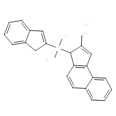 CC1=Cc2c(ccc3ccccc23)C1[Si](C)(C)C1=Cc2ccccc2C1.[LiH].[LiH]